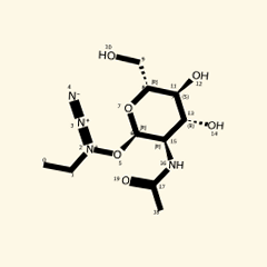 CC[N+](=[N+]=[N-])O[C@H]1O[C@H](CO)[C@@H](O)[C@H](O)[C@H]1NC(C)=O